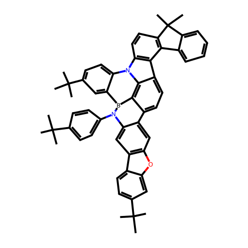 CC(C)(C)c1ccc(N2B3c4cc(C(C)(C)C)ccc4-n4c5ccc6c(c5c5ccc(c3c54)-c3cc4oc5cc(C(C)(C)C)ccc5c4cc32)-c2ccccc2C6(C)C)cc1